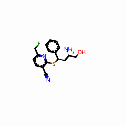 N#Cc1ccc(CF)nc1S[C@H](C[C@H](N)CO)c1ccccc1